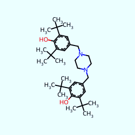 CC(C)(C)c1cc(CN2CCN(Cc3cc(C(C)(C)C)c(O)c(C(C)(C)C)c3)CC2)cc(C(C)(C)C)c1O